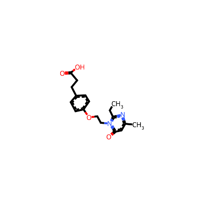 CCc1nc(C)cc(=O)n1CCOc1ccc(CCC(=O)O)cc1